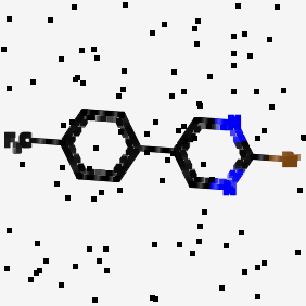 FC(F)(F)c1ccc(-c2cnc(Br)nc2)cc1